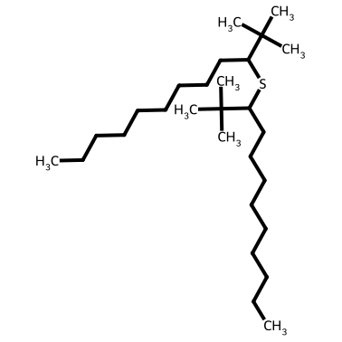 CCCCCCCCCC(SC(CCCCCCCCC)C(C)(C)C)C(C)(C)C